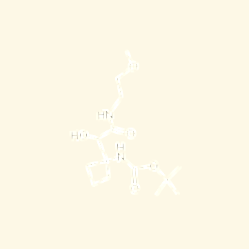 COCCNC(=O)C(O)C1(NC(=O)OC(C)(C)C)CCC1